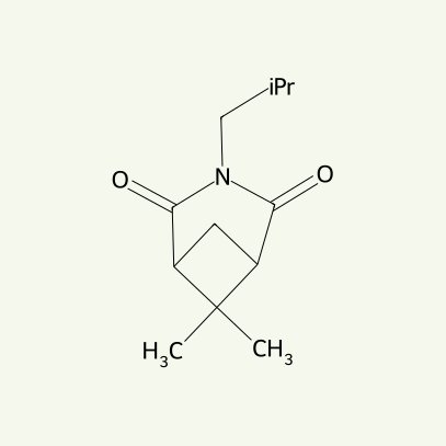 CC(C)CN1C(=O)C2CC(C1=O)C2(C)C